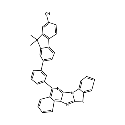 CC1(C)c2cc(C#N)ccc2-c2ccc(-c3cccc(-c4nc5c(nc6sc7ccccc7n65)c5ccccc45)c3)cc21